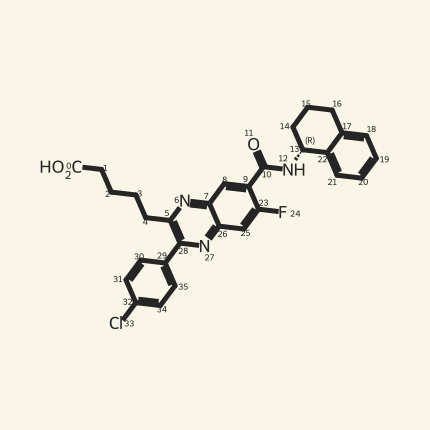 O=C(O)CCCCc1nc2cc(C(=O)N[C@@H]3CCCc4ccccc43)c(F)cc2nc1-c1ccc(Cl)cc1